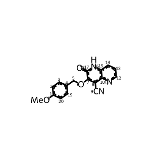 COc1ccc(COc2c(C#N)c3ncccc3[nH]c2=O)cc1